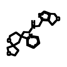 c1ccc(C2(CCNCc3scc4c3COC4)CCOC3(CCOC3)C2)nc1